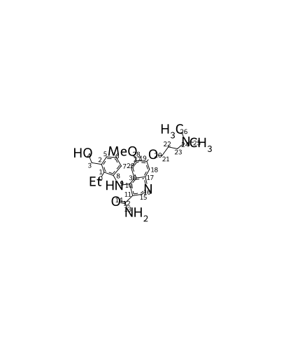 CCc1c(CO)cccc1Nc1c(C(N)=O)cnc2cc(OCCCN(C)C)c(OC)cc12